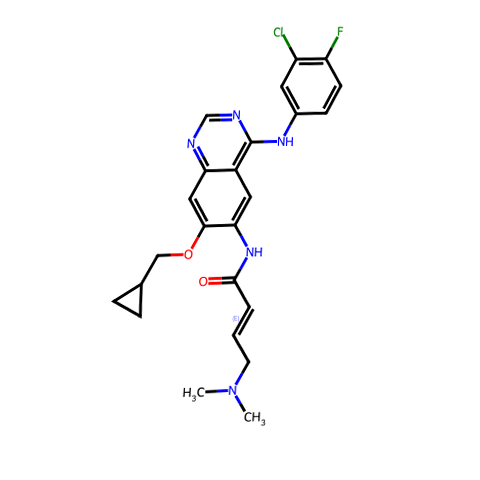 CN(C)C/C=C/C(=O)Nc1cc2c(Nc3ccc(F)c(Cl)c3)ncnc2cc1OCC1CC1